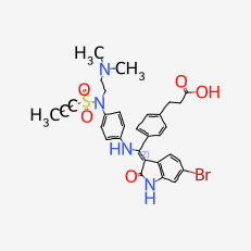 CCCS(=O)(=O)N(CCN(C)C)c1ccc(N/C(=C2\C(=O)Nc3cc(Br)ccc32)c2ccc(CCC(=O)O)cc2)cc1